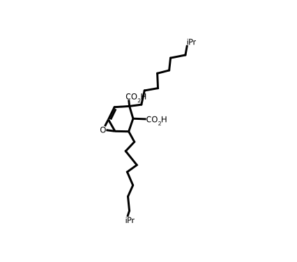 CC(C)CCCCCCCC1C2OC2=CC(CCCCCCCC(C)C)(C(=O)O)C1C(=O)O